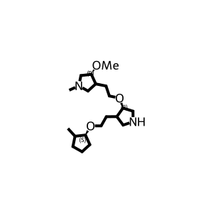 CO[C@H]1CN(C)CC1CCO[C@H]1CNCC1CCO[C@H]1CCCC1C